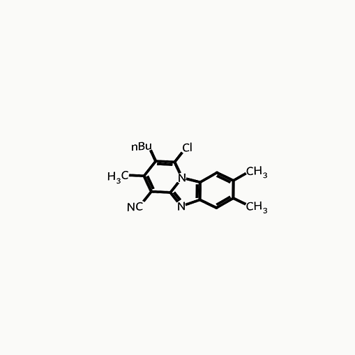 CCCCc1c(C)c(C#N)c2nc3cc(C)c(C)cc3n2c1Cl